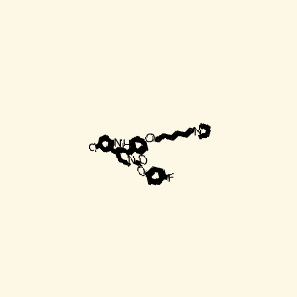 O=C(Oc1ccc(F)cc1)N1CCc2c([nH]c3ccc(Cl)cc23)C1c1ccc(OCCCCCCN2CCCC2)cc1